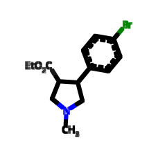 CCOC(=O)C1CN(C)CC1c1ccc(Br)cc1